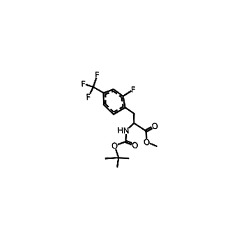 COC(=O)C(Cc1ccc(C(F)(F)F)cc1F)NC(=O)OC(C)(C)C